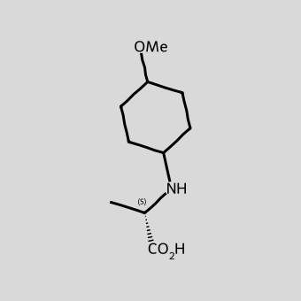 COC1CCC(N[C@@H](C)C(=O)O)CC1